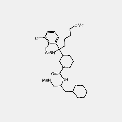 CNCC(CC1CCCCC1)NC(=O)N1CCCC(C(CCCCOC)(NC(C)=O)c2cccc(Cl)c2F)C1